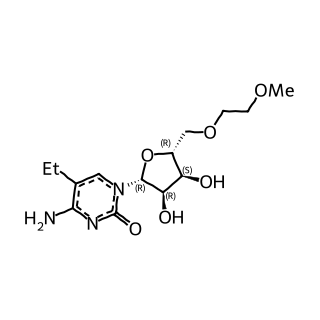 CCc1cn([C@@H]2O[C@H](COCCOC)[C@@H](O)[C@H]2O)c(=O)nc1N